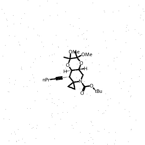 CCCC#C[C@@H]1[C@H]2OC(C)(OC)C(C)(OC)O[C@@H]2CN(C(=O)OC(C)(C)C)C12CC2